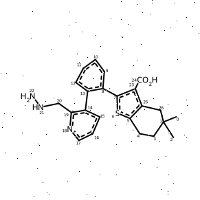 CC1(C)CCc2sc(-c3ccccc3-c3cccnc3CNN)c(C(=O)O)c2C1